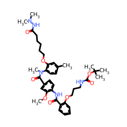 COc1cc(C(=O)N(C)c2ccc(C)cc2OCCCCCC(=O)NN(C)C)ccc1NC(=O)c1ccccc1OCCCNC(=O)OC(C)(C)C